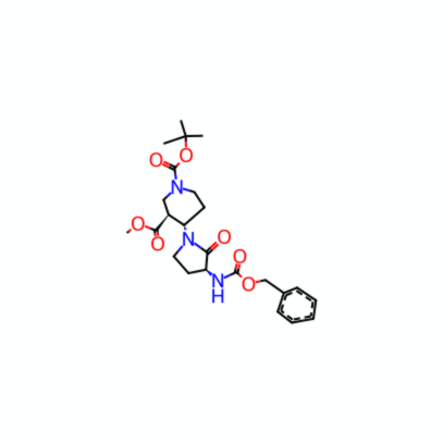 COC(=O)[C@H]1CN(C(=O)OC(C)(C)C)CC[C@@H]1N1CC[C@H](NC(=O)OCc2ccccc2)C1=O